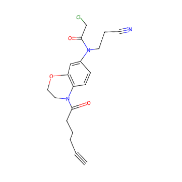 C#CCCCC(=O)N1CCOc2cc(N(CCC#N)C(=O)CCl)ccc21